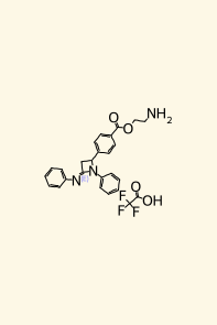 NCCOC(=O)c1ccc(C2C/C(=N\c3ccccc3)N2c2ccccc2)cc1.O=C(O)C(F)(F)F